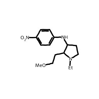 CCN1CCC(Nc2ccc([N+](=O)[O-])cc2)C1CCOC